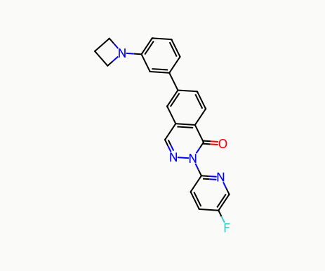 O=c1c2ccc(-c3cccc(N4CCC4)c3)cc2cnn1-c1ccc(F)cn1